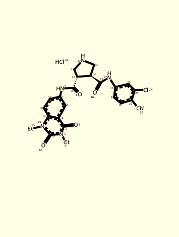 CCn1c(=O)c2cc(NC(=O)[C@@H]3CNC[C@H]3C(=O)Nc3ccc(C#N)c(Cl)c3)ccc2n(CC)c1=O.Cl